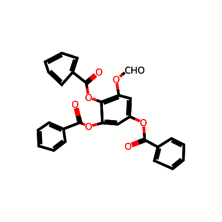 O=COc1cc(OC(=O)c2ccccc2)cc(OC(=O)c2ccccc2)c1OC(=O)c1ccccc1